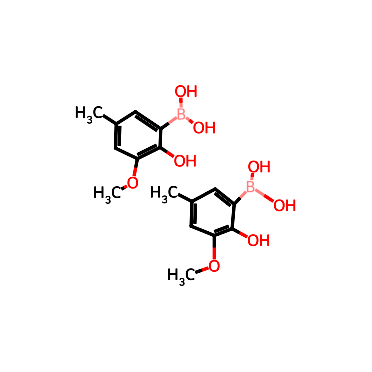 COc1cc(C)cc(B(O)O)c1O.COc1cc(C)cc(B(O)O)c1O